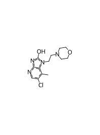 Cc1c(Cl)cnc2nc(O)n(CCN3CCOCC3)c12